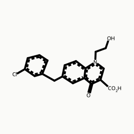 O=C(O)c1cn(CCO)c2ccc(Cc3cccc(Cl)c3)cc2c1=O